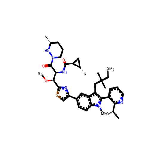 CCO[C@H](c1nc(-c2ccc3c(c2)c(CC(C)(C)COC)c(-c2cccnc2[C@H](C)OC)n3CC)cs1)[C@H](NC(=O)[C@H]1C[C@@H]1C)C(=O)N1CCC[C@@H](C)N1